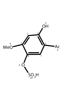 COc1cc(O)c(C(C)=O)cc1OS(=O)(=O)O